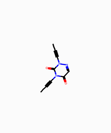 CC#Cn1ncc(=O)n(C#CC)c1=O